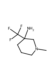 CN1CCCC(N)(C(F)(F)F)C1